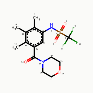 Cc1c(NS(=O)(=O)C(F)(F)F)cc(C(=O)N2CCOCC2)c(C)c1C